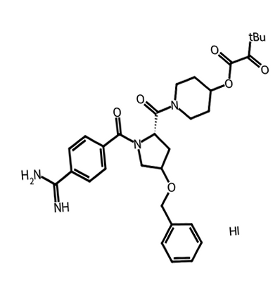 CC(C)(C)C(=O)C(=O)OC1CCN(C(=O)[C@@H]2CC(OCc3ccccc3)CN2C(=O)c2ccc(C(=N)N)cc2)CC1.I